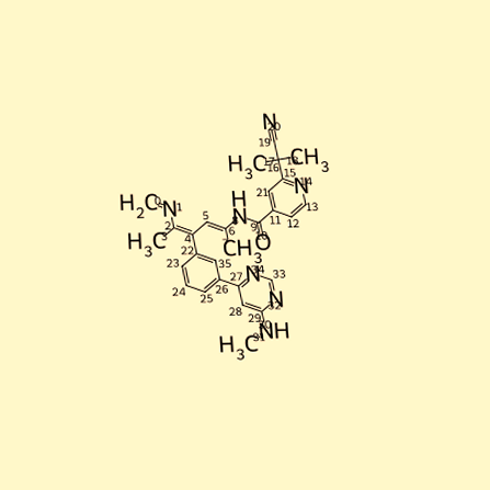 C=N/C(C)=C(\C=C(/C)NC(=O)c1ccnc(C(C)(C)C#N)c1)c1cccc(-c2cc(NC)ncn2)c1